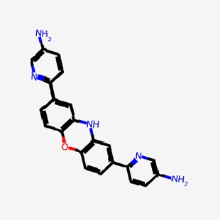 Nc1ccc(-c2ccc3c(c2)Nc2cc(-c4ccc(N)cn4)ccc2O3)nc1